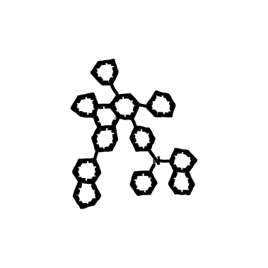 c1ccc(-c2cc(-c3ccccc3)c3c4ccccc4c4cc(-c5ccc6ccccc6c5)ccc4c3c2-c2ccc(N(c3ccccc3)c3cccc4ccccc34)cc2)cc1